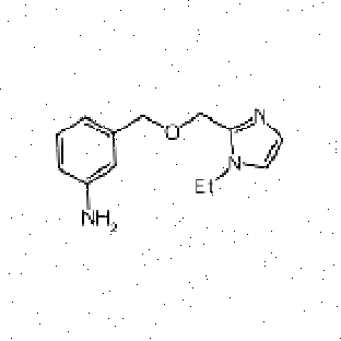 CCn1ccnc1COCc1cccc(N)c1